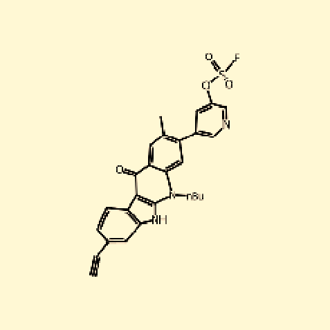 C#Cc1ccc2c(c1)[nH]c1c2c(=O)c2cc(C)c(-c3cncc(OS(=O)(=O)F)c3)cc2n1CCCC